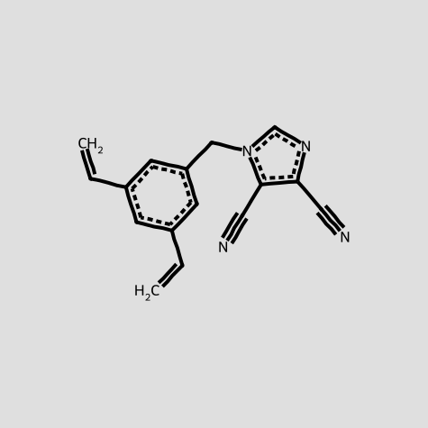 C=Cc1cc(C=C)cc(Cn2cnc(C#N)c2C#N)c1